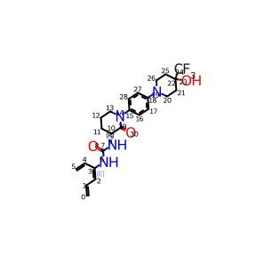 C=C/C=C(\C=C)NC(=O)N[C@@H]1CCCN(c2ccc(N3CCC(O)(C(F)(F)F)CC3)cc2)C1=O